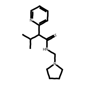 CC(C)C(C(=S)NCN1CCCC1)c1ccccn1